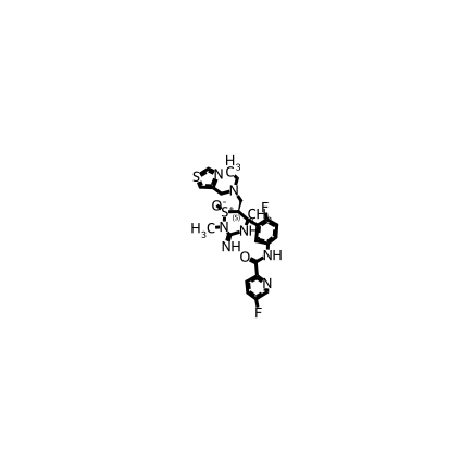 CCN(Cc1cscn1)C[C@@H]1[S+]([O-])N(C)C(=N)N[C@]1(C)c1cc(NC(=O)c2ccc(F)cn2)ccc1F